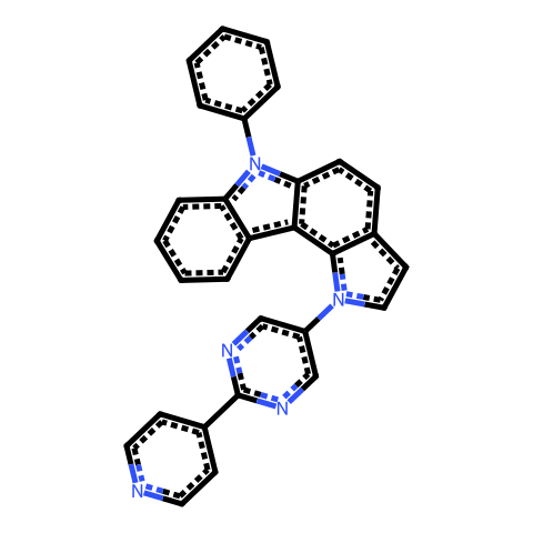 c1ccc(-n2c3ccccc3c3c4c(ccc32)ccn4-c2cnc(-c3ccncc3)nc2)cc1